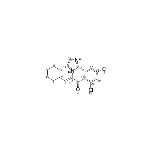 O=C(/C(=C/C1CCCCC1)n1ccnc1)c1ccc(Cl)cc1Cl